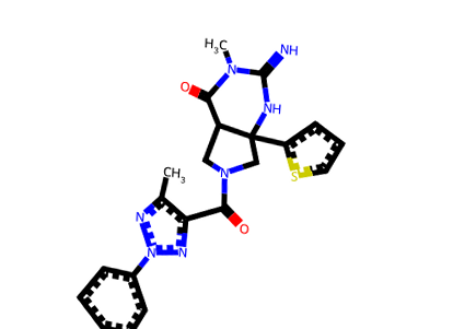 Cc1nn(-c2ccccc2)nc1C(=O)N1CC2C(=O)N(C)C(=N)NC2(c2cccs2)C1